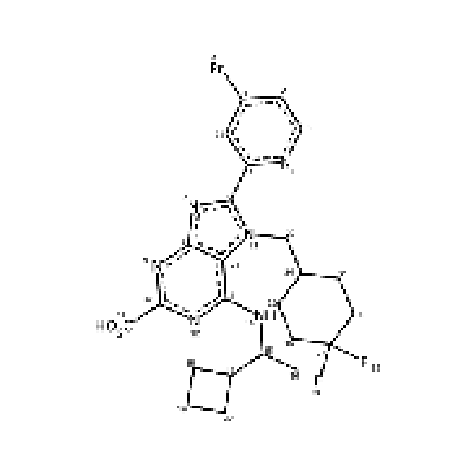 CC(C)c1ccnc(-c2nc3nc(C(=O)O)nc(NC(C)C4CCC4)c3n2CC2CCC(F)(F)CC2)c1